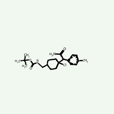 Cc1ccc(C(C(N)=O)C2(Cl)CCC(CNC(=O)OC(C)(C)C)CC2)cc1